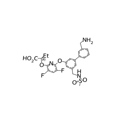 CC[C@@H](Oc1nc(Oc2cc(CNS(C)(=O)=O)cc(-c3cccc(CN)c3)c2)c(F)cc1F)C(=O)O